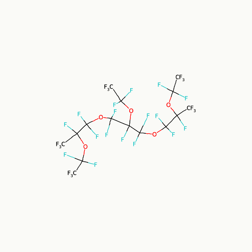 FC(F)(F)C(F)(F)OC(F)(C(F)(F)F)C(F)(F)OC(F)(F)C(F)(OC(F)(F)C(F)(F)F)C(F)(F)OC(F)(F)C(F)(OC(F)(F)C(F)(F)F)C(F)(F)F